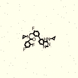 O=C(c1ccc(F)cc1F)N(Cc1cc(-c2ccc3ncnc(NC4CC4)c3c2)ccc1F)C1CC1